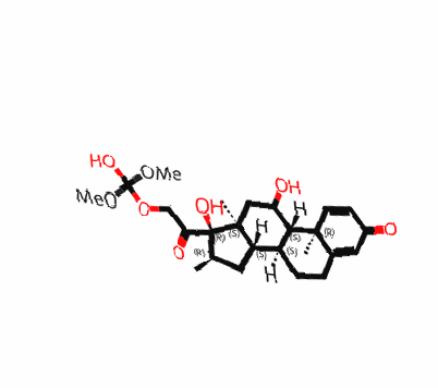 COC(O)(OC)OCC(=O)[C@@]1(O)[C@H](C)C[C@H]2[C@@H]3CCC4=CC(=O)C=C[C@]4(C)[C@H]3C(O)C[C@@]21C